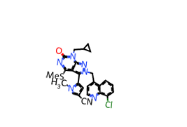 CSc1nc(=O)n(CC2CC2)c2nn(Cc3ccnc4c(Cl)cccc34)c(-c3cc(C#N)cn3C)c12